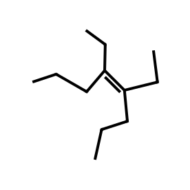 CCCC(CC)=C(CC)CCC